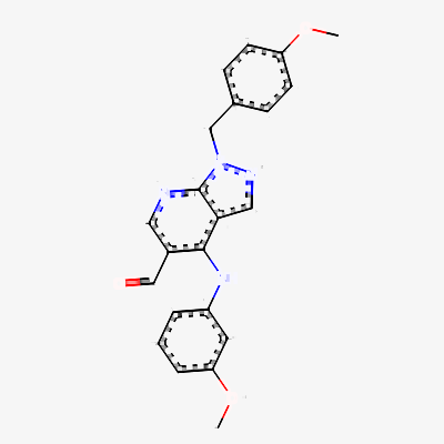 COc1ccc(Cn2ncc3c(Nc4cccc(OC)c4)c(C=O)cnc32)cc1